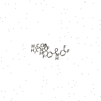 CC(C)(C)NC(=O)C(F)(F)c1cc(C(=O)Nc2ccc(F)c(F)c2)ccc1F